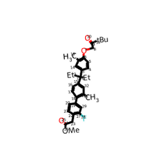 CCC(CC)(c1ccc(OCC(=O)C(C)(C)C)c(C)c1)c1ccc(-c2ccc(CC(=O)OC)c(F)c2)c(C)c1